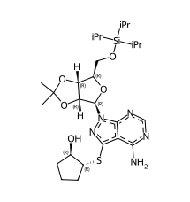 CC(C)[Si](OC[C@H]1O[C@@H](n2nc(S[C@@H]3CCC[C@H]3O)c3c(N)ncnc32)[C@@H]2OC(C)(C)O[C@@H]21)(C(C)C)C(C)C